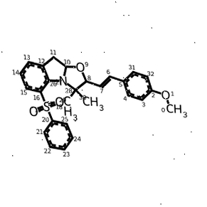 COc1ccc(C=CC2OC3Cc4cccc(S(=O)(=O)c5ccccc5)c4N3C2(C)C)cc1